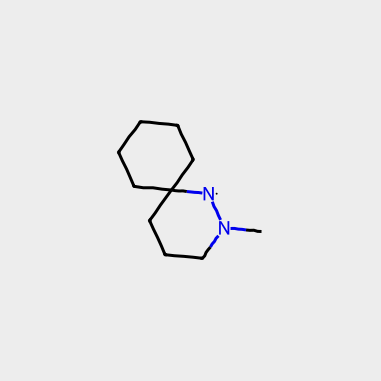 CN1CCCC2(CCCCC2)[N]1